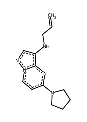 C=CCNc1cnn2ccc(N3CCCC3)nc12